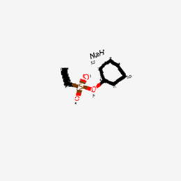 C=CS(=O)(=O)OC1CCCCC1.[NaH]